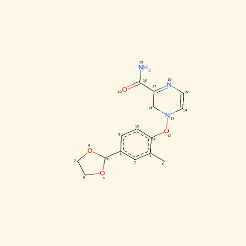 Cc1cc(C2OCCO2)ccc1ON1C=CN=C(C(N)=O)C1